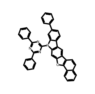 c1ccc(-c2ccc3c4cc5c(cc4n(-c4nc(-c6ccccc6)nc(-c6ccccc6)n4)c3c2)oc2c3ccccc3ccc52)cc1